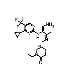 CCN1C[C@H](C/N=C(C)\C(=C/N)Nc2ncc(C(F)(F)F)c(C3CC3)n2)CCC1=O